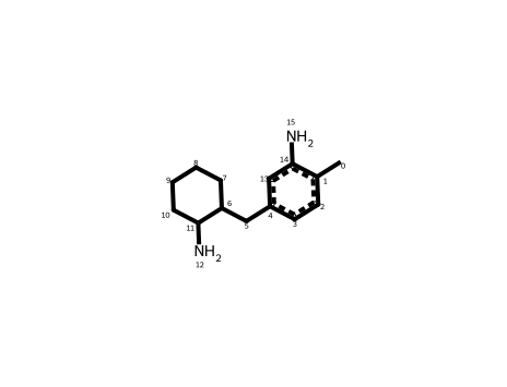 Cc1ccc(CC2CCCCC2N)cc1N